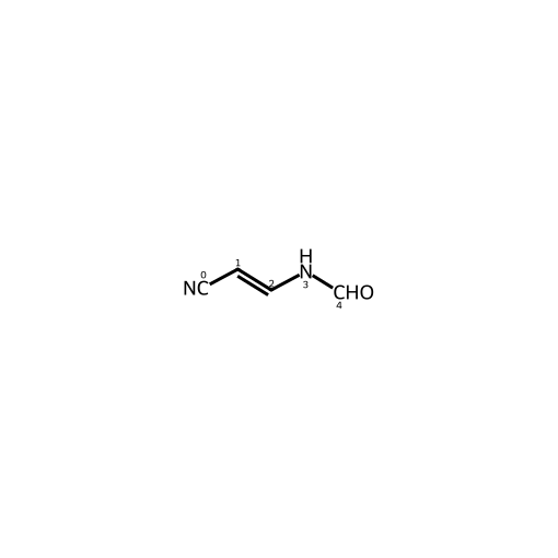 N#CC=CNC=O